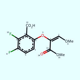 CO/C=C(/Oc1ccc(F)c(F)c1C(=O)O)C(=O)OC